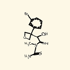 CN(C(=N)C(O)C1(c2cccc(Br)c2)COC1)C(N)=S